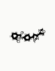 Cn1nc(-c2ncon2)cc1-c1ccc(NC(=O)c2ccccc2Cl)cc1